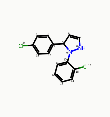 Clc1ccc(C2C=CNN2c2ccccc2Cl)cc1